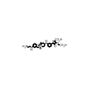 CC1(C)C[C@@H](Nc2cccc(-c3sc(C(=O)O)c(OCC(=O)O)c3Cl)c2)CCN1S(=O)(=O)Cc1cccc(NCCN)c1